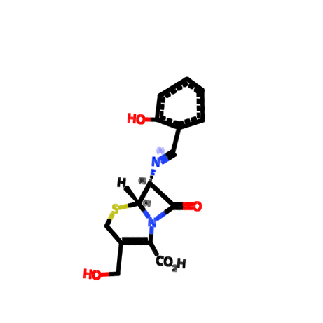 O=C(O)C1=C(CO)CS[C@@H]2[C@H](/N=C/c3ccccc3O)C(=O)N12